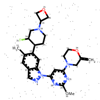 C=C1CN(c2cc(-n3ncc4cc(C)c(C5CCN(C6COC6)CC5F)cc43)nc(OC)n2)CCO1